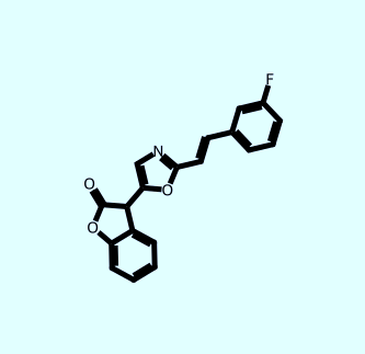 O=C1Oc2ccccc2C1c1cnc(/C=C/c2cccc(F)c2)o1